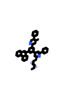 C/C=C\C=C/Cc1cc(-c2cc(C3=CC(C)C(c4ccccc4)C=N3)cc(-c3cc4ccccc4c4ccccc34)c2)cc(C2=CCCC=C2)n1